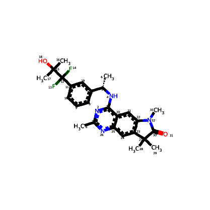 Cc1nc(N[C@@H](C)c2cccc(C(F)(F)C(C)(C)O)c2)c2cc3c(cc2n1)C(C)(C)C(=O)N3C